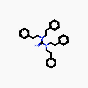 N=C(N(CCc1ccccc1)CCc1ccccc1)N(CCc1ccccc1)CCc1ccccc1